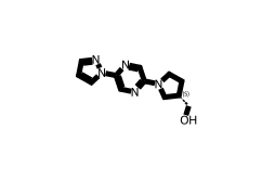 OC[C@H]1CCN(c2cnc(-n3cccn3)cn2)C1